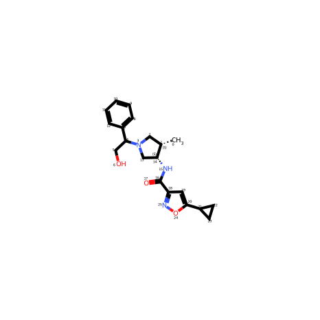 C[C@H]1CN(C(CO)c2ccccc2)C[C@H]1NC(=O)c1cc(C2CC2)on1